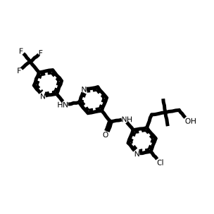 CC(C)(CO)Cc1cc(Cl)ncc1NC(=O)c1ccnc(Nc2ccc(C(F)(F)F)cn2)c1